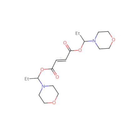 CCC(OC(=O)/C=C/C(=O)OC(CC)N1CCOCC1)N1CCOCC1